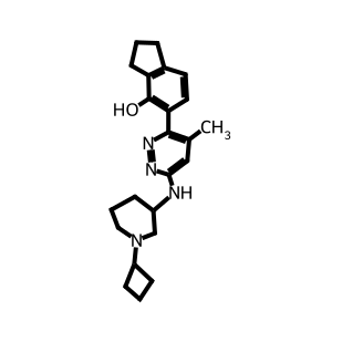 Cc1cc(NC2CCCN(C3CCC3)C2)nnc1-c1ccc2c(c1O)CCC2